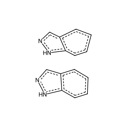 c1ccc2[nH]ncc2c1.c1ccc2[nH]ncc2c1